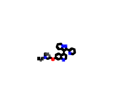 CN(C)CCOc1ccc2c(-c3c(-c4ccccn4)nn4ccccc34)ccnc2c1